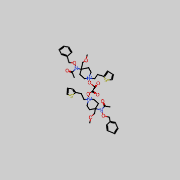 COCC1(N(OCc2ccccc2)C(C)=O)CC[N+](CCc2cccs2)(OC(=O)C(=O)O[N+]2(CCc3cccs3)CCC(COC)(N(OCc3ccccc3)C(C)=O)CC2)CC1